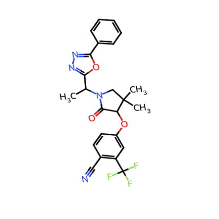 CC(c1nnc(-c2ccccc2)o1)N1CC(C)(C)C(Oc2ccc(C#N)c(C(F)(F)F)c2)C1=O